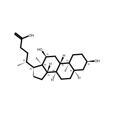 C=C(O)CC[C@@H](C)[C@H]1CC[C@H]2[C@@H]3CC[C@@H]4C[C@H](O)CC[C@]4(C)[C@H]3C[C@H](O)[C@]12C